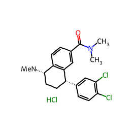 CN[C@H]1CC[C@@H](c2ccc(Cl)c(Cl)c2)c2cc(C(=O)N(C)C)ccc21.Cl